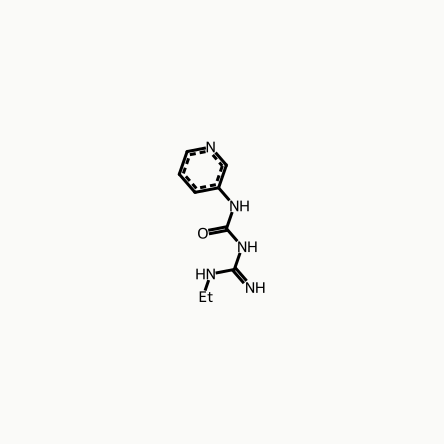 CCNC(=N)NC(=O)Nc1cccnc1